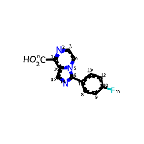 O=C(O)c1nccn2c(-c3ccc(F)cc3)ncc12